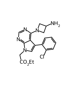 CCOC(=O)Cn1cc(-c2ccccc2Cl)c2c(N3CC(N)C3)ncnc21